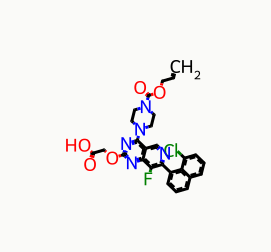 C=CCOC(=O)N1CCN(c2nc(OCC(=O)O)nc3c(F)c(-c4cccc5cccc(Cl)c45)ncc23)CC1